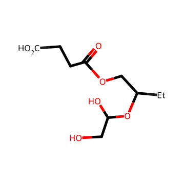 CCC(COC(=O)CCC(=O)O)OC(O)CO